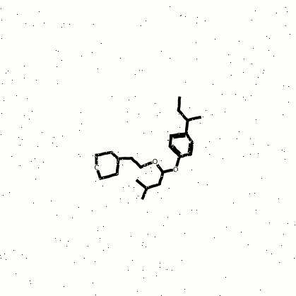 CCC(C)c1ccc(OC(CC(C)C)OCCC2CCCCC2)cc1